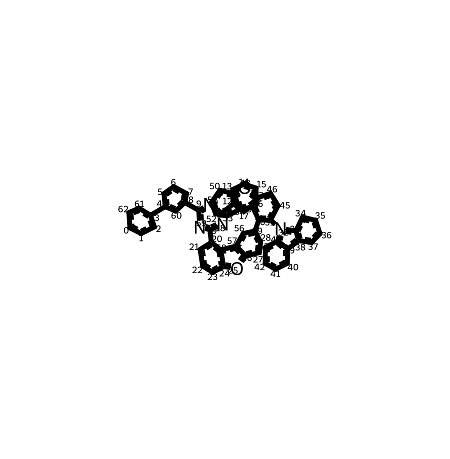 c1ccc(-c2cccc(-c3nc(-c4ccccc4)nc(-c4cccc5oc6ccc(-c7c(-n8c9ccccc9c9ccccc98)ccc8oc9ccccc9c78)cc6c45)n3)c2)cc1